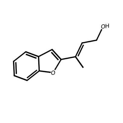 CC(=CCO)c1cc2ccccc2o1